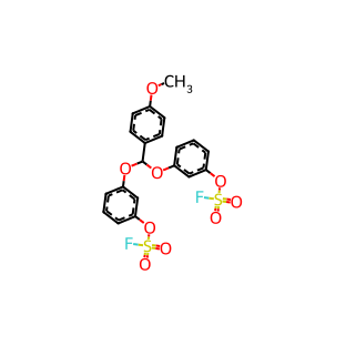 COc1ccc(C(Oc2cccc(OS(=O)(=O)F)c2)Oc2cccc(OS(=O)(=O)F)c2)cc1